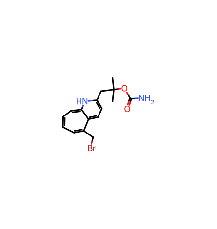 CC(C)(CC1=CC=C2C(CBr)=CC=CC=C2N1)OC(N)=O